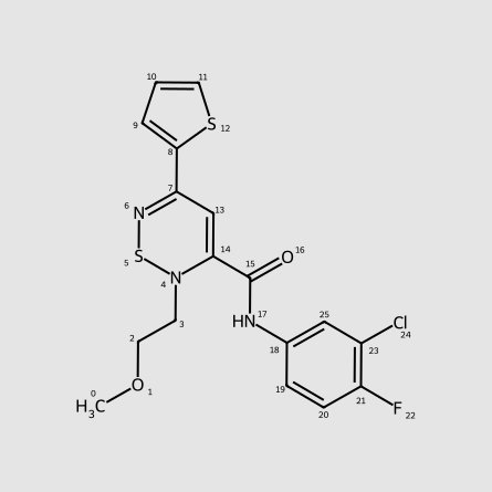 COCCN1SN=C(c2cccs2)C=C1C(=O)Nc1ccc(F)c(Cl)c1